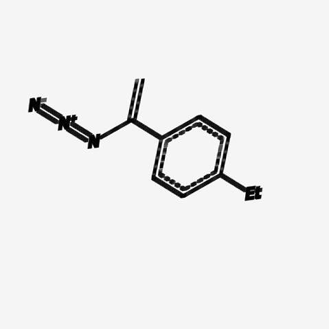 C=C(N=[N+]=[N-])c1ccc(CC)cc1